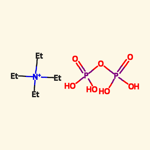 CC[N+](CC)(CC)CC.O=P(O)(O)OP(=O)(O)O